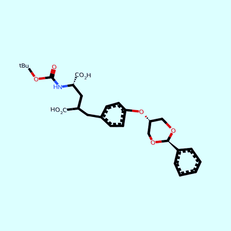 CC(C)(C)OC(=O)N[C@@H](CC(Cc1ccc(O[C@H]2CO[C@H](c3ccccc3)OC2)cc1)C(=O)O)C(=O)O